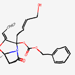 O=CC=C1O[C@@H]2CC(=O)N2C1(CC=CCO)OC(=O)OCc1ccccc1